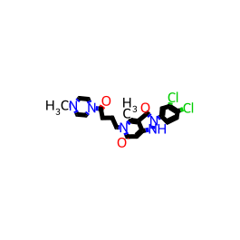 Cc1c2c(=O)n(-c3ccc(Cl)c(Cl)c3)[nH]c2cc(=O)n1CCCC(=O)N1CCN(C)CC1